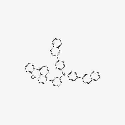 c1cc(-c2ccc3c4c(cccc24)-c2ccccc2O3)cc(N(c2ccc(-c3ccc4ccccc4c3)cc2)c2ccc(-c3ccc4ccccc4c3)cc2)c1